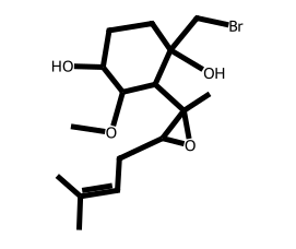 COC1C(O)CCC(O)(CBr)C1C1(C)OC1CC=C(C)C